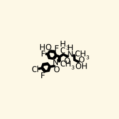 Cc1c(C(C)C(=O)NC(C)CC(=O)O)c2c(F)c(O)c(F)cc2n1C(=O)c1ccc(Cl)c(F)c1